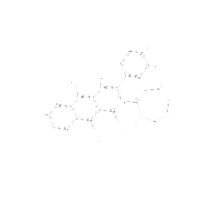 Cn1c2ccccc2c(=O)c2c(=O)n(C3CCCCCC3)c(-c3ccccc3)nc21